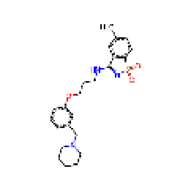 Cc1ccc2c(c1)C(NCCCOc1cccc(CN3CCCCC3)c1)=NS2(=O)=O